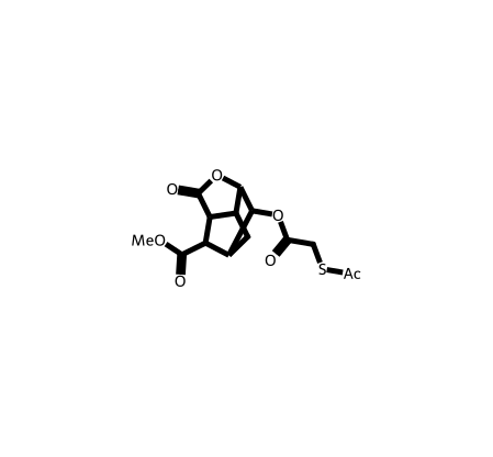 COC(=O)C1C2CC3C(OC(=O)C31)C2OC(=O)CSC(C)=O